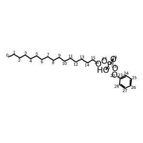 CCCCCCCCCCCCCCCCOOP(=O)(O)OOc1ccccc1